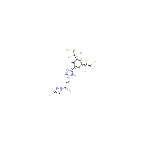 O=C(C=Cn1cnc(-c2cc(C(F)(F)CF)cc(C(F)(F)CF)c2)n1)N1CC(F)C1